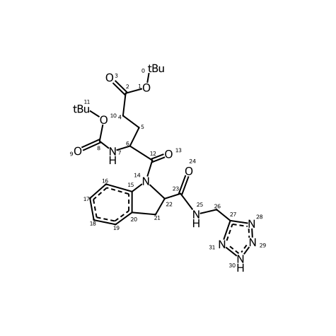 CC(C)(C)OC(=O)CCC(NC(=O)OC(C)(C)C)C(=O)N1c2ccccc2CC1C(=O)NCc1nn[nH]n1